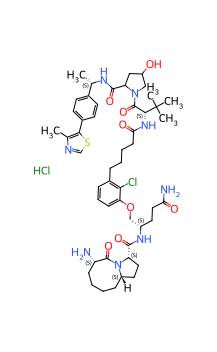 Cc1ncsc1-c1ccc([C@H](C)NC(=O)C2CC(O)CN2C(=O)[C@@H](NC(=O)CCCCc2cccc(OC[C@H](CCC(N)=O)NC(=O)[C@@H]3CC[C@@H]4CCCC[C@H](N)C(=O)N43)c2Cl)C(C)(C)C)cc1.Cl